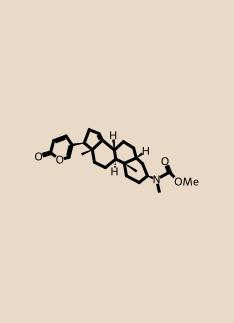 COC(=O)N(C)[C@H]1CC[C@@]2(C)[C@H](CC[C@H]3C4=CC[C@H](c5ccc(=O)oc5)[C@@]4(C)CC[C@@H]32)C1